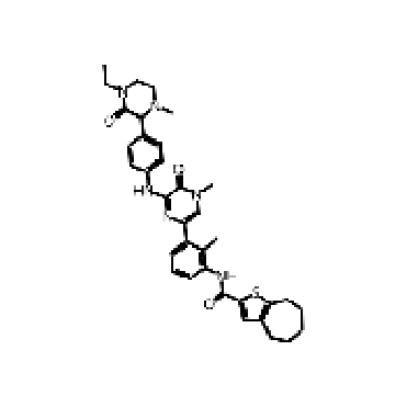 CCN1CCN(C)C(c2ccc(Nc3nc(-c4cccc(NC(=O)c5cc6c(s5)CCCCC6)c4C)cn(C)c3=O)cc2)C1=O